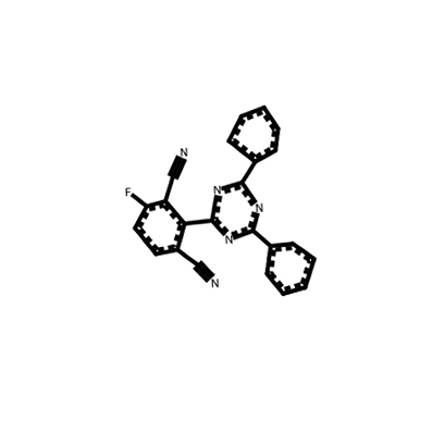 N#Cc1ccc(F)c(C#N)c1-c1nc(-c2ccccc2)nc(-c2ccccc2)n1